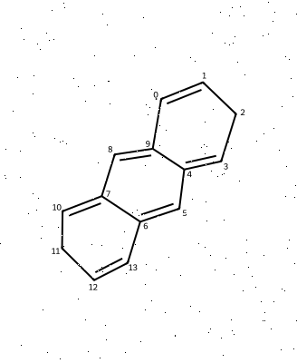 [C]1=CCC=c2cc3c(cc21)=CCC=C3